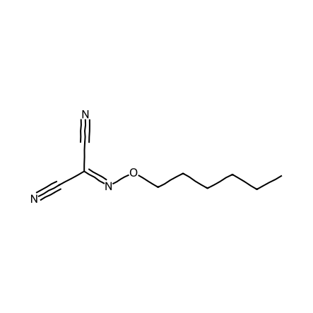 CCCCCCON=C(C#N)C#N